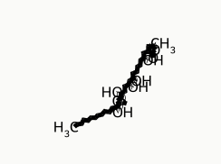 CCCCCCCCCCCC[C@@H](O)[C@H]1CC[C@H]([C@H](O)CC[C@@H](O)C[C@H](O)CCCCC[C@@H](O)CC2=C[C@H](C)OC2=O)O1